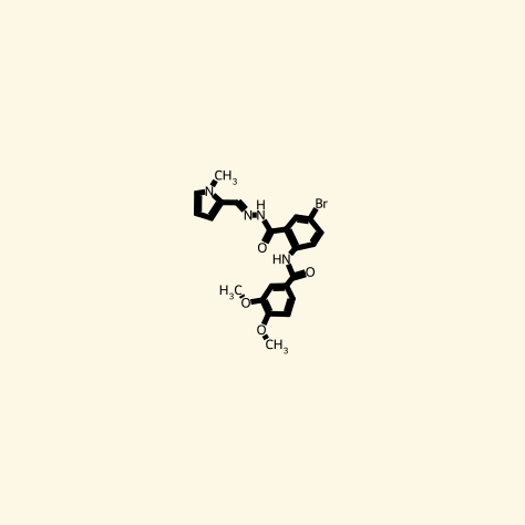 COc1ccc(C(=O)Nc2ccc(Br)cc2C(=O)N/N=C/c2cccn2C)cc1OC